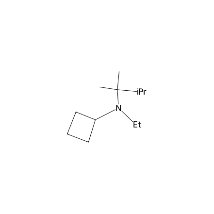 CCN(C1CCC1)C(C)(C)C(C)C